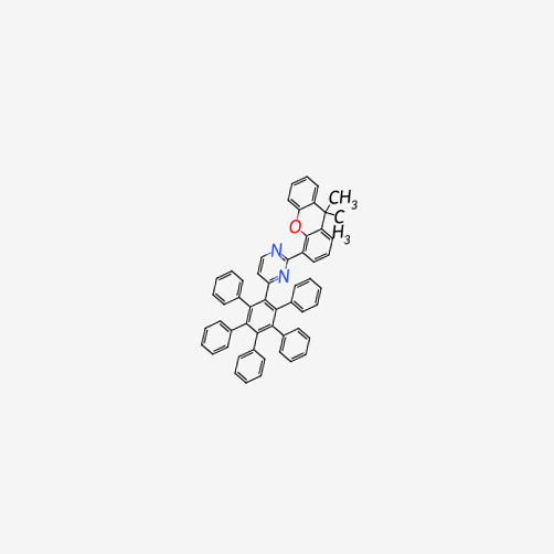 CC1(C)c2ccccc2Oc2c(-c3nccc(-c4c(-c5ccccc5)c(-c5ccccc5)c(-c5ccccc5)c(-c5ccccc5)c4-c4ccccc4)n3)cccc21